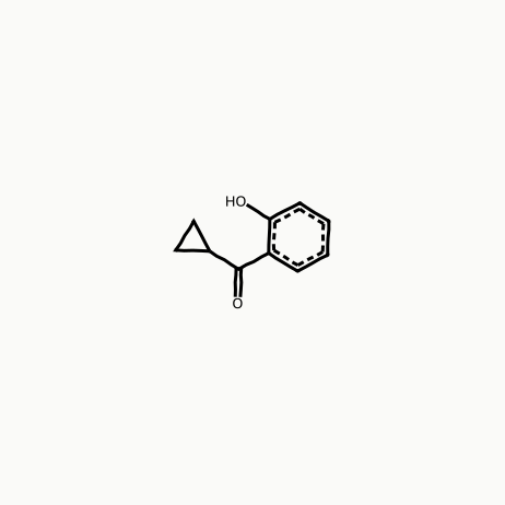 O=C(c1ccccc1O)C1CC1